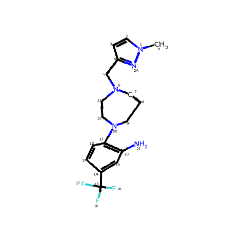 Cn1ccc(CN2CCCN(c3ccc(C(F)(F)F)cc3N)CC2)n1